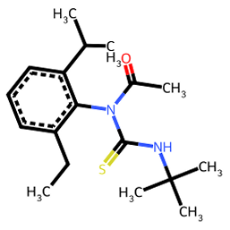 CCc1cccc(C(C)C)c1N(C(C)=O)C(=S)NC(C)(C)C